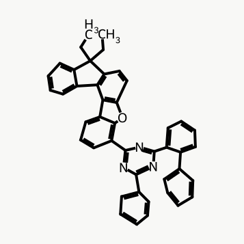 CCC1(CC)c2ccccc2-c2c1ccc1oc3c(-c4nc(-c5ccccc5)nc(-c5ccccc5-c5ccccc5)n4)cccc3c21